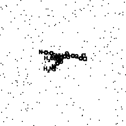 COC(=O)[C@H](Cc1ccc(-c2ccc(C#N)cc2)cc1)NC(=O)C1Cc2cc3c(cc2CN1S(=O)(=O)c1ccc(-c2csc(N)n2)cc1)O[C@@H](c1ccc(OCc2ccc(Cl)c(Cl)c2)cc1)CO3